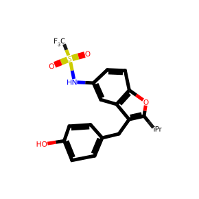 CC(C)c1oc2ccc(NS(=O)(=O)C(F)(F)F)cc2c1Cc1ccc(O)cc1